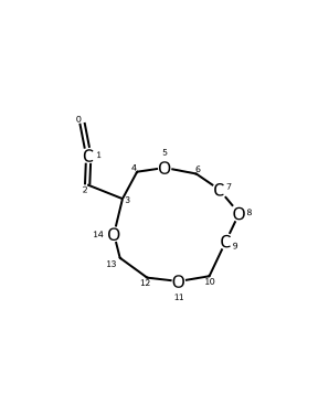 C=C=CC1COCCOCCOCCO1